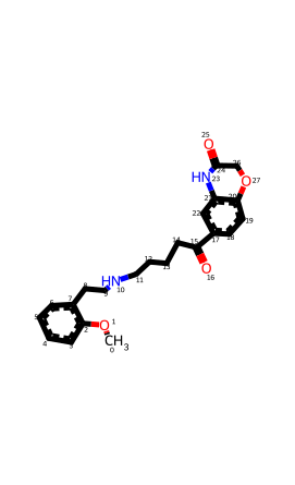 COc1ccccc1CCNCCCCC(=O)c1ccc2c(c1)NC(=O)CO2